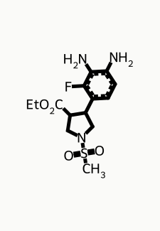 CCOC(=O)C1CN(S(C)(=O)=O)CC1c1ccc(N)c(N)c1F